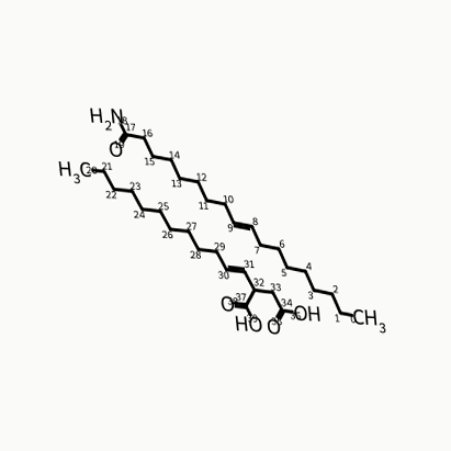 CCCCCCCCC=CCCCCCCCC(N)=O.CCCCCCCCCCC=CC(CC(=O)O)C(=O)O